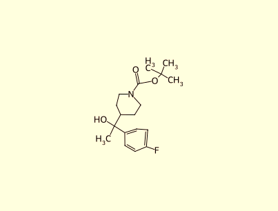 CC(C)(C)OC(=O)N1CCC(C(C)(O)c2ccc(F)cc2)CC1